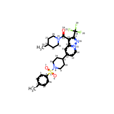 Cc1ccc(S(=O)(=O)N2CCC(c3ccn4nc(C(F)(F)F)c(C(=O)N5CCC(C)CC5)c4c3)CC2)cc1